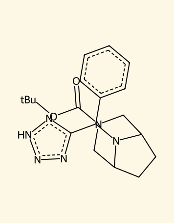 CC(C)(C)OC(=O)N1CC2CCC(C1)N2C(c1ccccc1)c1nn[nH]n1